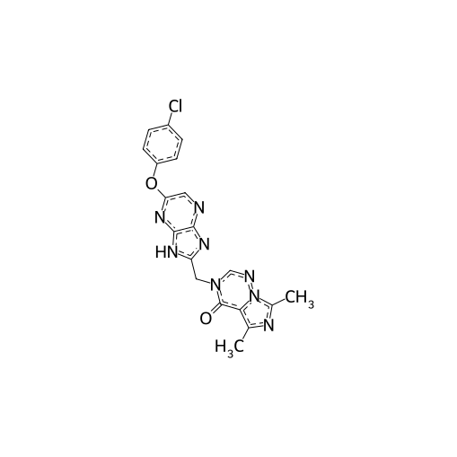 Cc1nc(C)n2ncn(Cc3nc4ncc(Oc5ccc(Cl)cc5)nc4[nH]3)c(=O)c12